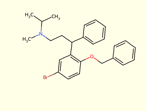 CC(C)N(C)CCC(c1ccccc1)c1cc(Br)ccc1OCc1ccccc1